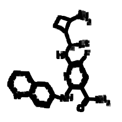 CC[C@@H](Nc1nc(Nc2ccc3ncccc3c2)c(C(N)=O)cc1F)C1CCC1N